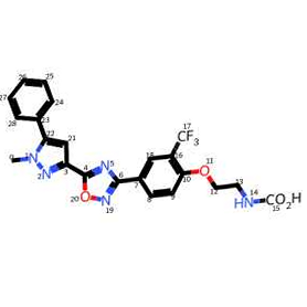 Cn1nc(-c2nc(-c3ccc(OCCNC(=O)O)c(C(F)(F)F)c3)no2)cc1-c1ccccc1